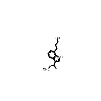 CC(OC=O)c1c[nH]c2c(CCCO)cccc12